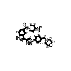 CN(C)C1CCN(C(=O)c2ccc3[nH]nc(-c4cn(-c5ccc(CN6CCOCC6)cc5)nn4)c3c2)CC1